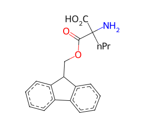 CCCC(N)(C(=O)O)C(=O)OCC1c2ccccc2-c2ccccc21